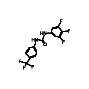 O=C(Nc1ccc(C(F)(F)F)cc1)Nc1cc(F)c(F)c(F)c1